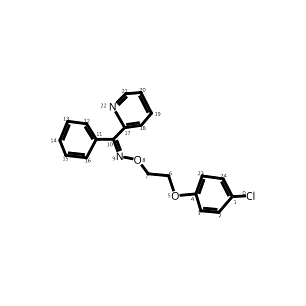 Clc1ccc(OCCON=C(c2ccccc2)c2ccccn2)cc1